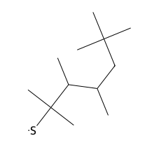 CC(CC(C)(C)C)C(C)C(C)(C)[S]